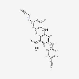 Cc1cc(/C=C/C#N)cc(C)c1Nc1cc(C(=O)O)nc(Nc2ccc(C#N)cc2)n1